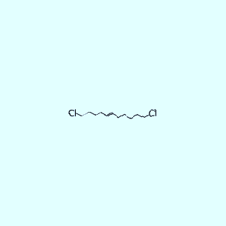 ClCCCCC=CCCCCCCl